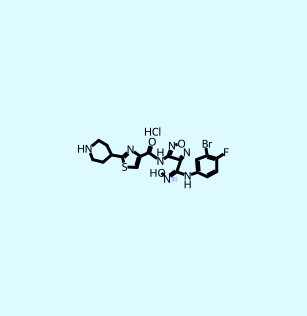 Cl.O=C(Nc1nonc1/C(=N\O)Nc1ccc(F)c(Br)c1)c1csc(C2CCNCC2)n1